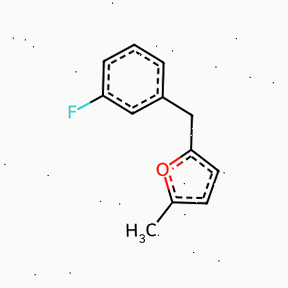 Cc1ccc(Cc2cccc(F)c2)o1